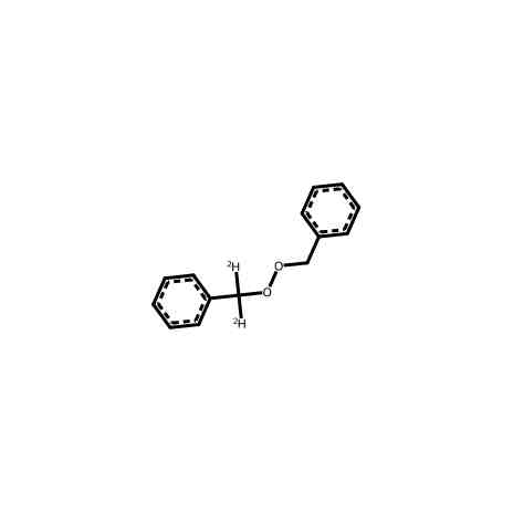 [2H]C([2H])(OOCc1ccccc1)c1ccccc1